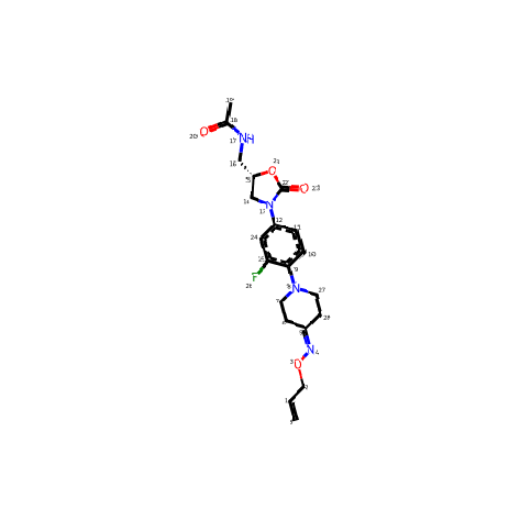 C=CCON=C1CCN(c2ccc(N3C[C@H](CNC(C)=O)OC3=O)cc2F)CC1